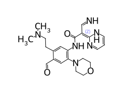 CN(C)CCc1cc(NC(=O)/C(C=N)=C2\N=CC=CN2)c(N2CCOCC2)cc1C=O